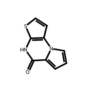 O=c1[nH]c2sccc2n2cccc12